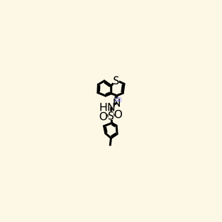 Cc1ccc(S(=O)(=O)N/N=c2/ccsc3ccccc23)cc1